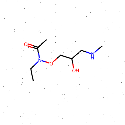 CCN(OCC(O)CNC)C(C)=O